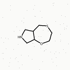 C1CSCC2CNCC2O1